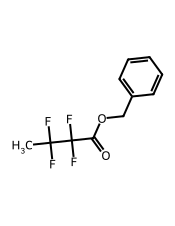 CC(F)(F)C(F)(F)C(=O)OCc1ccccc1